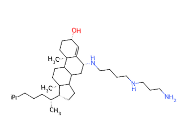 CC(C)CCC[C@@H](C)[C@H]1CCC2C3C[C@@H](NCCCCNCCCN)C4=C[C@@H](O)CC[C@]4(C)C3CC[C@@]21C